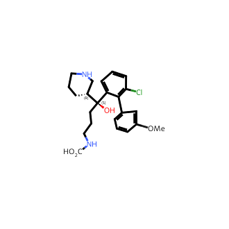 COc1cccc(-c2c(Cl)cccc2[C@](O)(CCCNC(=O)O)[C@@H]2CCCNC2)c1